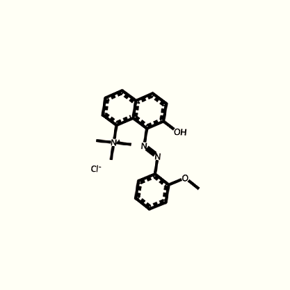 COc1ccccc1N=Nc1c(O)ccc2cccc([N+](C)(C)C)c12.[Cl-]